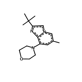 Cc1cc(N2CCOCC2)c2nc(C(C)(C)C)cn2c1